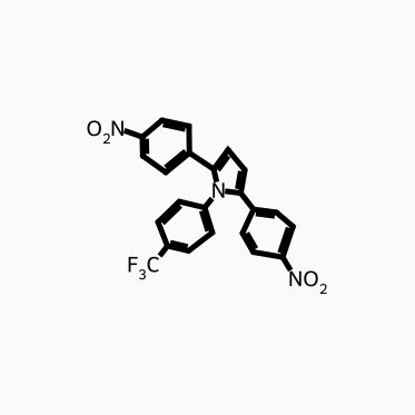 O=[N+]([O-])c1ccc(-c2ccc(-c3ccc([N+](=O)[O-])cc3)n2-c2ccc(C(F)(F)F)cc2)cc1